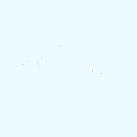 CC/C=N/N1CCN(CCC(C)/C=N/NC(C)=O)CC1